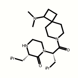 CC(C)C[C@@H]1NCCN([C@@H](CC(C)C)C(=O)N2CCC3(CCC3N(C)C)CC2)C1=O